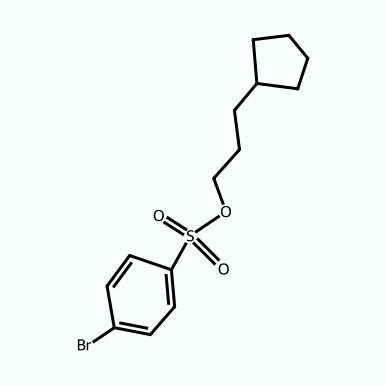 O=S(=O)(OCCCC1CCCC1)c1ccc(Br)cc1